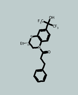 CC[C@H]1CN(C(=O)CCc2ccccc2)c2ccc(C(O)(C(F)(F)F)C(F)(F)F)cc2S1